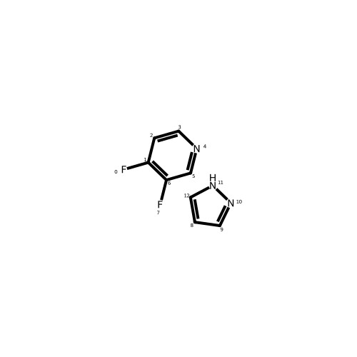 Fc1ccncc1F.c1cn[nH]c1